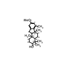 COc1cc(C)c2c(c1)CC1C2(C)CCC2C(C)(C)C(O)CCC12C